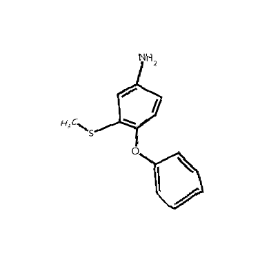 CSc1cc(N)ccc1Oc1ccccc1